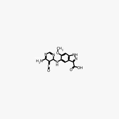 COc1cc2[nH]nc(C(=O)O)c2cc1NC1N=CN=C(N)C1=C=O